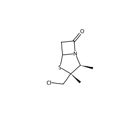 C[C@@H]1N2C(=O)CC2S[C@@]1(C)CCl